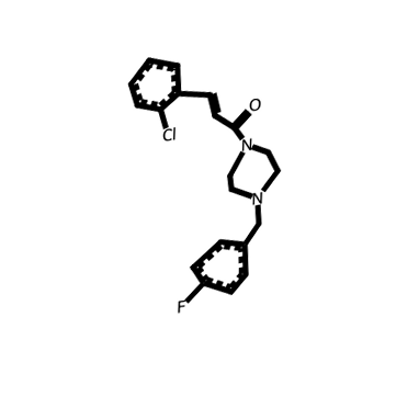 O=C(C=Cc1ccccc1Cl)N1CCN(Cc2ccc(F)cc2)CC1